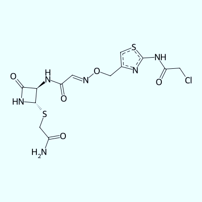 NC(=O)CS[C@@H]1NC(=O)[C@H]1NC(=O)C=NOCc1csc(NC(=O)CCl)n1